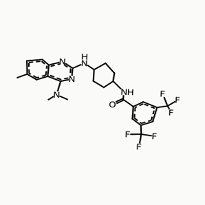 Cc1ccc2nc(NC3CCC(NC(=O)c4cc(C(F)(F)F)cc(C(F)(F)F)c4)CC3)nc(N(C)C)c2c1